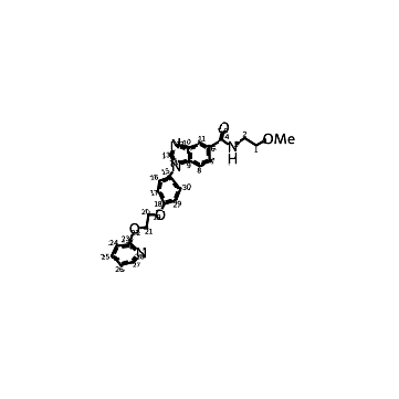 COCCNC(=O)c1ccc2c(c1)ncn2-c1ccc(OCCOc2ccccn2)cc1